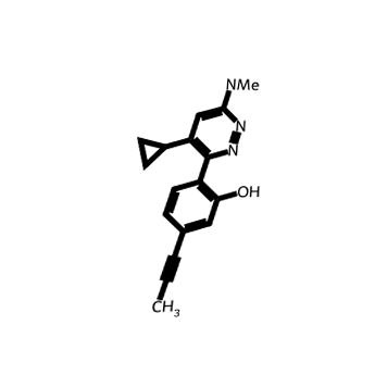 CC#Cc1ccc(-c2nnc(NC)cc2C2CC2)c(O)c1